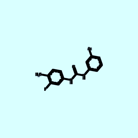 CC(=O)c1cccc(NC(=O)Nc2ccc(C)c(F)c2)c1